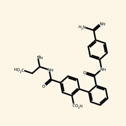 CC(C)(C)C(CC(=O)O)NC(=O)c1ccc(-c2ccccc2C(=O)Nc2ccc(C(=N)N)cc2)c(C(=O)O)c1